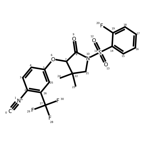 [C-]#[N+]c1ccc(OC2C(=O)N(S(=O)(=O)c3ccccc3F)CC2(C)C)cc1C(F)(F)F